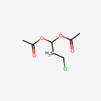 CC(=O)OC(OC(C)=O)[SiH2]CCl